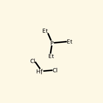 CCP(CC)CC.[Cl][Hf][Cl]